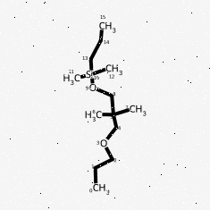 CCCOCC(C)(C)CO[Si](C)(C)CCC